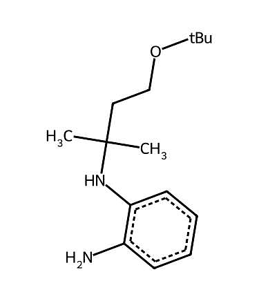 CC(C)(CCOC(C)(C)C)Nc1ccccc1N